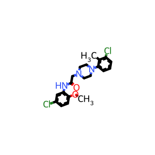 COc1ccc(Cl)cc1NC(=O)CN1CCN(c2cccc(Cl)c2C)CC1